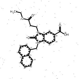 CCOC(=O)CCn1c(=O)n(Cc2cccc3ccccc23)c2ccc(C(=O)O)cc21